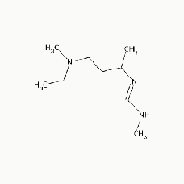 CCN(C)CCC(C)/N=C/NC